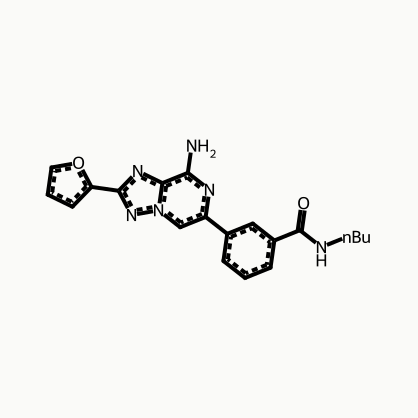 CCCCNC(=O)c1cccc(-c2cn3nc(-c4ccco4)nc3c(N)n2)c1